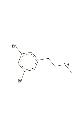 CNCCc1cc(Br)cc(Br)c1